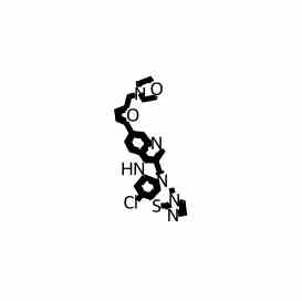 Cn1ccnc1Sc1ccc(Nc2c(C#N)cnc3cc(-c4ccc(CN5CCOCC5)o4)ccc23)cc1Cl